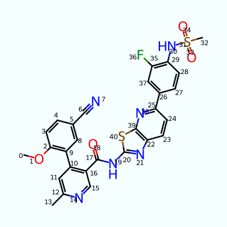 COc1ccc(C#N)cc1-c1cc(C)ncc1C(=O)Nc1nc2ccc(-c3ccc(NS(C)(=O)=O)c(F)c3)nc2s1